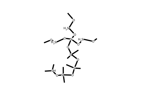 CO[SiH2]O[Si](O[SiH2]OC)(O[SiH2]OC)O[Si](C)(C)O[Si](C)(C)O[Si](C)(C)O[SiH](C)C